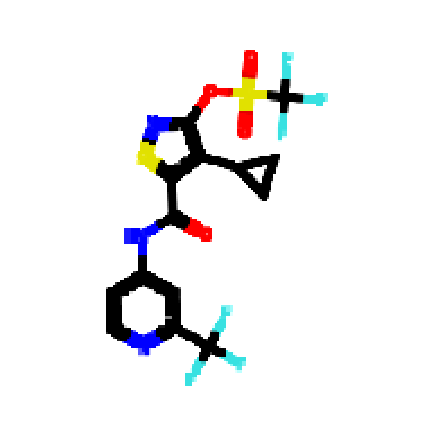 O=C(Nc1ccnc(C(F)(F)F)c1)c1snc(OS(=O)(=O)C(F)(F)F)c1C1CC1